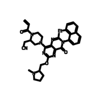 C=CC(=O)N1CCN(c2nc(OCC3CCCN3C)nc3c(=O)n(-c4cccc5cccc(CC)c45)c(C)nc23)CC1CC#N